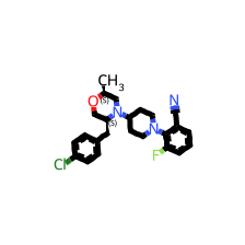 C[C@H]1CN(C2CCN(c3c(F)cccc3C#N)CC2)[C@@H](Cc2ccc(Cl)cc2)CO1